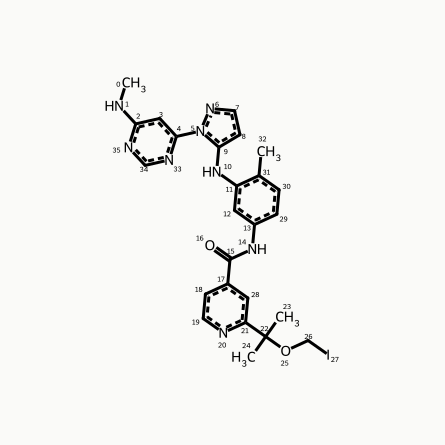 CNc1cc(-n2nccc2Nc2cc(NC(=O)c3ccnc(C(C)(C)OCI)c3)ccc2C)ncn1